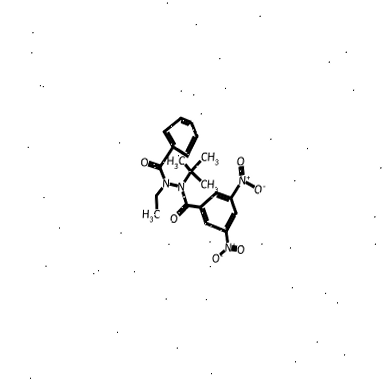 CCN(C(=O)c1ccccc1)N(C(=O)c1cc([N+](=O)[O-])cc([N+](=O)[O-])c1)C(C)(C)C